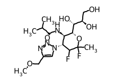 COCc1cn([C@H]2C(F)C(C)(F)O[C@@H]([C@H](O)[C@H](O)CO)[C@@H]2NC(=O)C(C)C)nn1